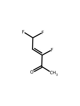 CC(=O)/C(F)=C/C(F)F